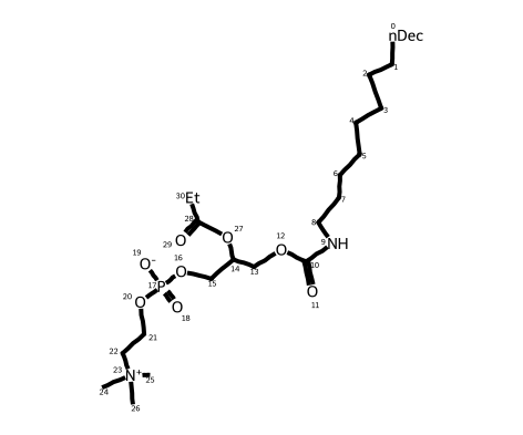 CCCCCCCCCCCCCCCCCCNC(=O)OCC(COP(=O)([O-])OCC[N+](C)(C)C)OC(=O)CC